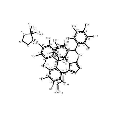 C=C[CH2][Ti][C]1=CC=C(OC(c2c(F)c(F)c(F)c(F)c2F)c2c(F)c(F)c(F)c(F)c2F)[C@H]1OC(c1c(F)c(F)c(F)c(F)c1F)c1c(F)c(F)c(F)c(F)c1F.CC1(C)OCCO1